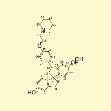 Cl.Oc1ccc2c(c1)CCC21CC(c2ccc(OCCN3CCCCC3)cc2)c2cc(O)ccc21